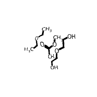 CCOCC.COC(C)=O.OCCOCCO